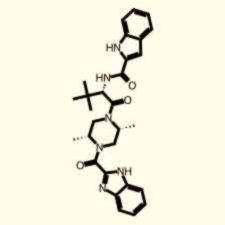 C[C@@H]1CN(C(=O)[C@@H](NC(=O)c2cc3ccccc3[nH]2)C(C)(C)C)[C@H](C)CN1C(=O)c1nc2ccccc2[nH]1